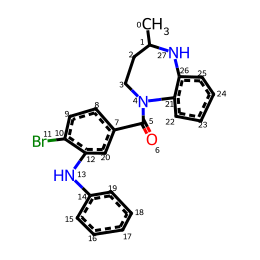 CC1CCN(C(=O)c2ccc(Br)c(Nc3ccccc3)c2)c2ccccc2N1